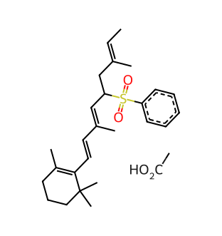 C/C=C(\C)CC(/C=C(C)/C=C/C1=C(C)CCCC1(C)C)S(=O)(=O)c1ccccc1.CC(=O)O